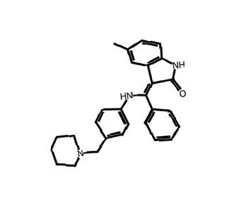 Cc1ccc2c(c1)C(=C(Nc1ccc(CN3CCCCC3)cc1)c1ccccc1)C(=O)N2